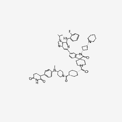 CC(C)n1cnc2cc(-c3ccc4c(c3)N([C@H]3C[C@@H](N5CCCCC5)C3)C(=O)C43CCN(C(=O)[C@H]4CC[C@H](C(=O)N5CCC(N(C)c6ccc(C7CCC(=O)NC7=O)cc6)CC5)CC4)CC3)nc(Nc3ccccc3F)c21